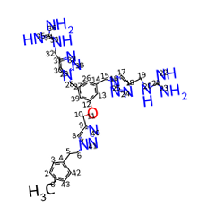 Cc1ccc(CCn2cc(COc3cc(Cn4cc(CNC(=N)N)nn4)cc(Cn4cc(CNC(=N)N)nn4)c3)nn2)cc1